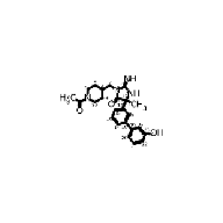 CC(=O)N1CCC(CN2C(=N)NC(C)(c3cccc(-c4cccc(O)c4)c3)C2=O)CC1